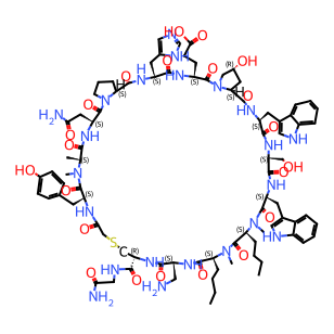 CCCC[C@H]1C(=O)N(C)[C@@H](CCCC)C(=O)N[C@@H](CN)C(=O)N[C@H](C(=O)NCC(N)=O)CSCC(=O)N[C@@H](Cc2ccc(O)cc2)C(=O)N(C)[C@@H](C)C(=O)N[C@@H](CC(N)=O)C(=O)N2CCC[C@H]2C(=O)N[C@@H](Cc2cnc[nH]2)C(=O)N[C@@H](CCC(=O)O)C(=O)N2C[C@H](O)C[C@H]2C(=O)N[C@@H](Cc2c[nH]c3ccccc23)C(=O)N[C@@H](CO)C(=O)N[C@@H](Cc2c[nH]c3ccccc23)C(=O)N1C